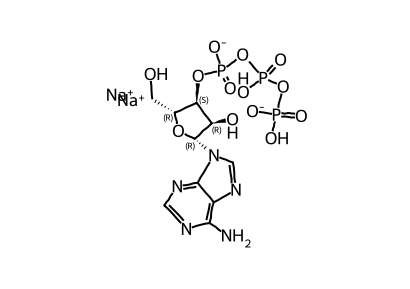 Nc1ncnc2c1ncn2[C@@H]1O[C@H](CO)[C@@H](OP(=O)([O-])OP(=O)(O)OP(=O)([O-])O)[C@H]1O.[Na+].[Na+]